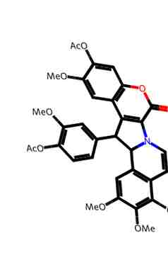 COc1cc(C2c3c(c(=O)oc4cc(OC(C)=O)c(OC)cc34)N3C=Cc4c(cc(OC)c(OC)c4OC(C)=O)C23)ccc1OC(C)=O